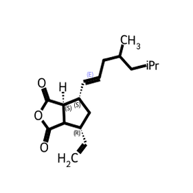 C=C[C@H]1C[C@@H](/C=C/CC(C)CC(C)C)[C@@H]2C(=O)OC(=O)C21